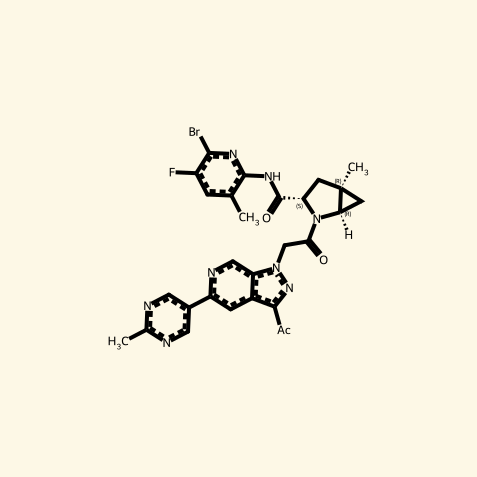 CC(=O)c1nn(CC(=O)N2[C@H](C(=O)Nc3nc(Br)c(F)cc3C)C[C@@]3(C)C[C@@H]23)c2cnc(-c3cnc(C)nc3)cc12